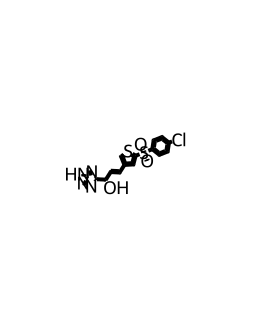 O=S(=O)(c1ccc(Cl)cc1)c1cc(C=CC(O)c2nn[nH]n2)cs1